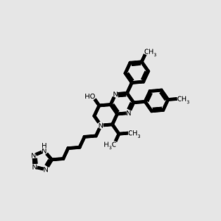 Cc1ccc(-c2nc3c(nc2-c2ccc(C)cc2)C(C(C)C)N(CCCCCc2nnn[nH]2)CC3O)cc1